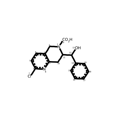 O=C(O)N1Cc2ccc(Cl)nc2CC1C(O)c1ccccc1